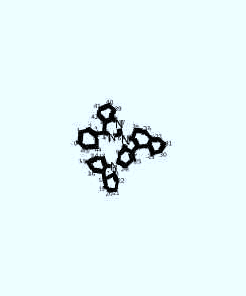 c1ccc(-c2nc(-n3c4cc(-n5c6ccccc6c6ccccc65)ccc4c4c5ccccc5ccc43)nc3ccccc23)cc1